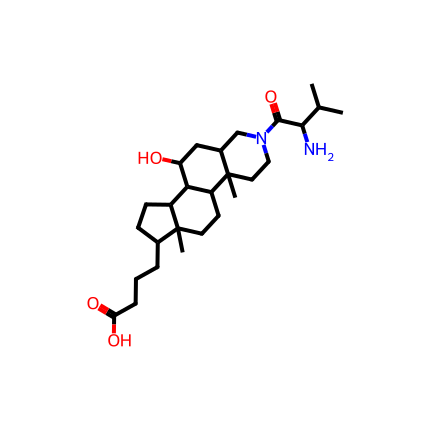 CC(C)C(N)C(=O)N1CCC2(C)C(CC(O)C3C4CCC(CCCC(=O)O)C4(C)CCC32)C1